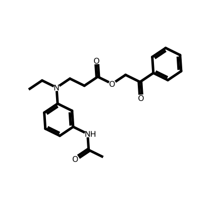 CCN(CCC(=O)OCC(=O)c1ccccc1)c1cccc(NC(C)=O)c1